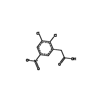 O=C(O)Cc1cc([N+](=O)[O-])cc(Cl)c1Cl